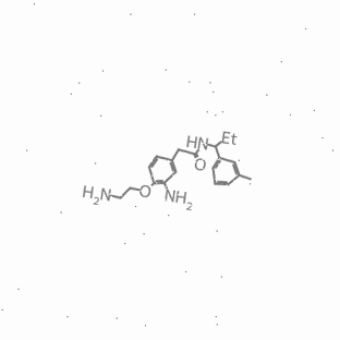 CCC(NC(=O)Cc1ccc(OCCN)c(N)c1)c1cccc(C)c1